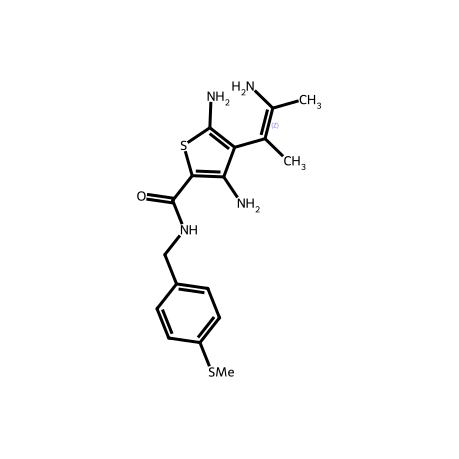 CSc1ccc(CNC(=O)c2sc(N)c(/C(C)=C(/C)N)c2N)cc1